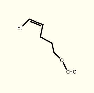 CC/C=C\CCCOC=O